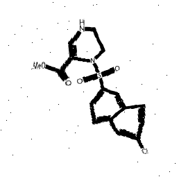 COC(=O)C1=CNCCN1S(=O)(=O)c1ccc2cc(Cl)ccc2c1